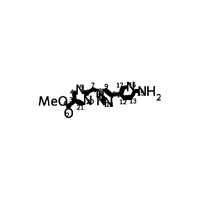 COC(=O)c1cnc(Cn2cc(-c3ccc(N)nc3)nn2)nc1